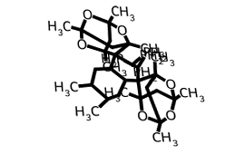 CC1CC(C2(C(P)P)C3(C)CC4(C)OC(C)(CC2(C)O4)O3)C(C2(C(P)P)C3(C)CC4(C)OC(C)(CC2(C)O4)O3)CC1C